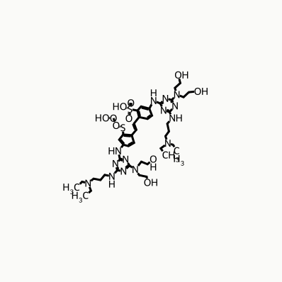 CCN(CC)CCCNc1nc(Nc2ccc(/C=C/c3ccc(Nc4nc(NCCCN(CC)CC)nc(N(CCO)CCO)n4)cc3S(=O)(=O)O)c(SOOO)c2)nc(N(CCO)CCO)n1